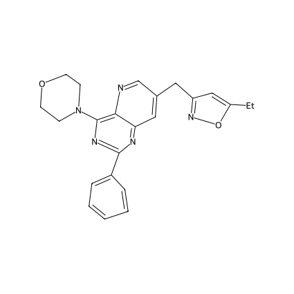 CCc1cc(Cc2cnc3c(N4CCOCC4)nc(-c4ccccc4)nc3c2)no1